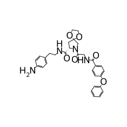 Nc1ccc(CCNC(=O)[C@@H]2CC3(CN2C(=O)CNC(=O)c2ccc(Oc4ccccc4)cc2)OCCO3)cc1